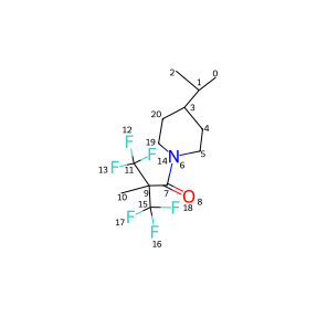 CC(C)C1CCN(C(=O)C(C)(C(F)(F)F)C(F)(F)F)CC1